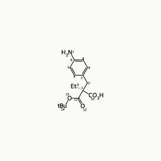 CC[C@](Cc1ccc(N)cc1)(C(=O)O)C(=O)OC(C)(C)C